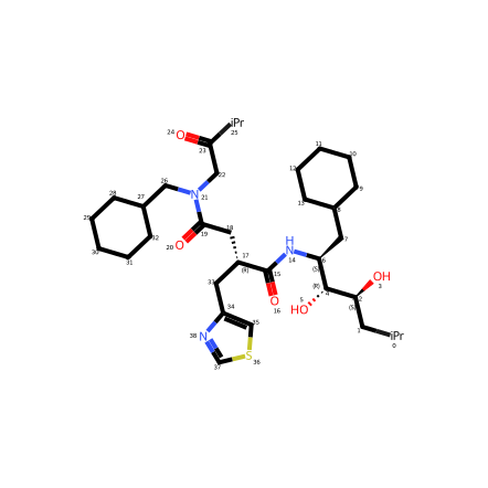 CC(C)C[C@H](O)[C@H](O)[C@H](CC1CCCCC1)NC(=O)[C@@H](CC(=O)N(CC(=O)C(C)C)CC1CCCCC1)Cc1cscn1